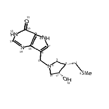 CSC[C@H]1CN(Cc2c[nH]c3c(=O)[nH]cnc23)C[C@H]1O